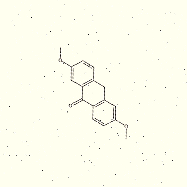 COc1ccc2c(c1)Cc1ccc(OC)cc1C2=O